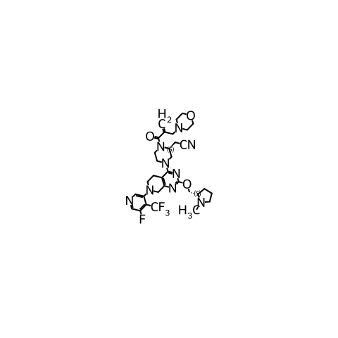 C=C(CN1CCOCC1)C(=O)N1CCN(c2nc(OC[C@@H]3CCCN3C)nc3c2CCN(c2cncc(F)c2C(F)(F)F)C3)C[C@@H]1CC#N